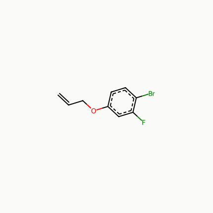 C=CCOc1ccc(Br)c(F)c1